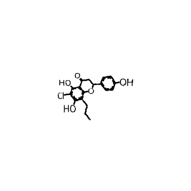 CCCc1c(O)c(Cl)c(O)c2c1OC(c1ccc(O)cc1)CC2=O